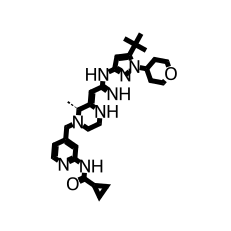 C[C@@H]1/C(=C/C(=N)Nc2cc(C(C)(C)C)n(C3CCOCC3)n2)NCCN1Cc1ccnc(NC(=O)C2CC2)c1